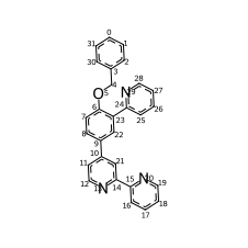 c1ccc(COc2ccc(-c3ccnc(-c4ccccn4)c3)cc2-c2ccccn2)cc1